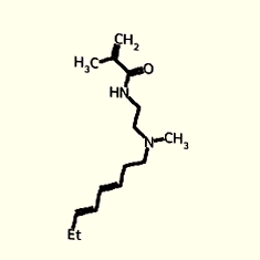 C=C(C)C(=O)NCCN(C)CCC=CC=CCC